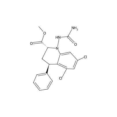 COC(=O)[C@H]1C[C@H](c2ccccc2)c2c(Cl)cc(Cl)cc2N1NC(N)=O